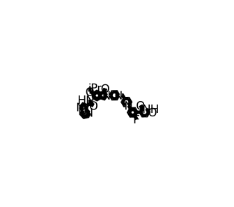 CC(C)Oc1cc2c(cc1NC(=O)c1cnn3cccnc13)CN(C1CCN(CC3CCN(c4ccc(F)c(C5CCC(=O)NC5=O)c4)CC3)CC1)C2=O